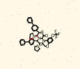 CN(C(=O)C(N1C(=O)COc2ccc(OC(F)(F)F)cc21)N(C)C(CN1CCCC1)c1ccc(-c2ccccc2)cc1)C(CN1CCCC1)c1ccc(-c2ccccc2)cc1